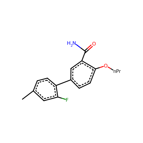 CCCOc1ccc(-c2ccc(C)cc2F)cc1C(N)=O